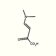 CN(C)C=CC(=O)C(=O)O